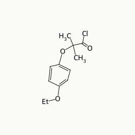 CCOc1ccc(OC(C)(C)C(=O)Cl)cc1